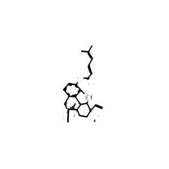 C=C[C@@]1(OC)CC[C@]2(C)[C@H]3Cc4ccc(OC(=O)/C=C/C=C(C)C)c5c4[C@@]2(CCN3C)[C@H]1O5